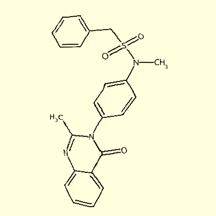 Cc1nc2ccccc2c(=O)n1-c1ccc(N(C)S(=O)(=O)Cc2ccccc2)cc1